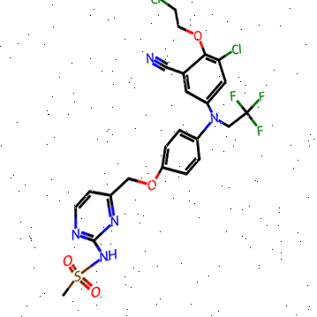 CS(=O)(=O)Nc1nccc(COc2ccc(N(CC(F)(F)F)c3cc(Cl)c(OCCCl)c(C#N)c3)cc2)n1